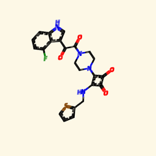 O=C(C(=O)N1CCN(c2c(NCc3cccs3)c(=O)c2=O)CC1)c1c[nH]c2cccc(F)c12